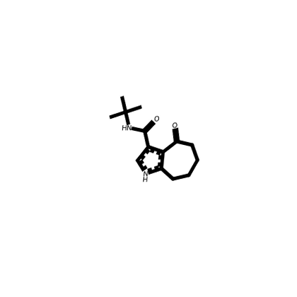 CC(C)(C)NC(=O)c1c[nH]c2c1C(=O)CCCC2